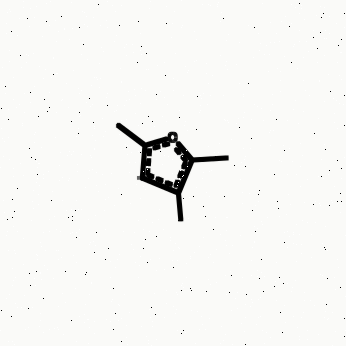 Cc1[c]c(C)c(C)o1